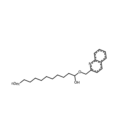 CCCCCCCCCCCCCCCCCCCC(O)OCc1ccc2ccccc2n1